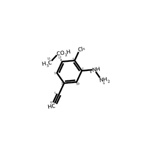 C#Cc1ccc(Cl)c(NN)c1.CC(=O)O